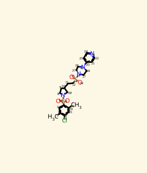 Cc1cc(S(=O)(=O)N2CCC(CCS(=O)(=O)N3CCN(c4ccncc4)CC3)C2)c(C)cc1Cl